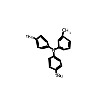 Cc1cccc(N(c2ccc(C(C)(C)C)cc2)c2ccc(C(C)(C)C)cc2)c1